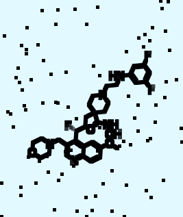 COc1ccc2ncc(CN3CCOCC3)c([C@H](F)CCC3(C(=O)NO)CCN(CCNc4cc(F)cc(F)c4)CC3)c2c1